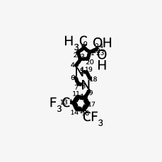 CC1CC(CN2CCN(Cc3cc(C(F)(F)F)cc(C(F)(F)F)c3)CC2)CC1C(O)O